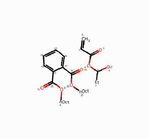 C=CC(=O)OC(O)CC.CCCCCCCCOC(=O)c1ccccc1C(=O)OCCCCCCCC